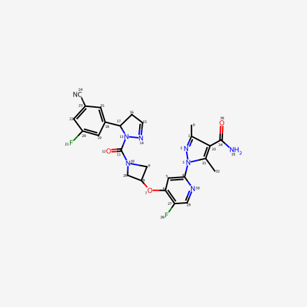 Cc1nn(-c2cc(OC3CN(C(=O)N4N=CCC4c4cc(F)cc(C#N)c4)C3)c(F)cn2)c(C)c1C(N)=O